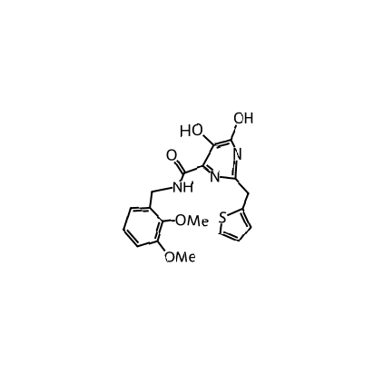 COc1cccc(CNC(=O)c2nc(Cc3cccs3)nc(O)c2O)c1OC